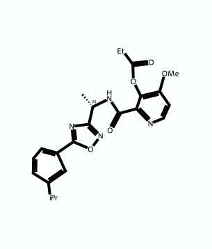 CCC(=O)Oc1c(OC)ccnc1C(=O)N[C@@H](C)c1noc(-c2cccc(C(C)C)c2)n1